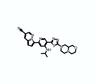 CC(C)Nc1cc(-c2ccc3cc(C#N)cnn23)ncc1-c1nnc(N2CCN3CCOCC3C2)s1